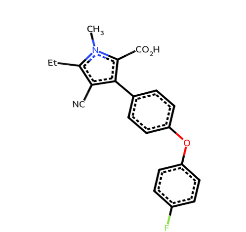 CCc1c(C#N)c(-c2ccc(Oc3ccc(F)cc3)cc2)c(C(=O)O)n1C